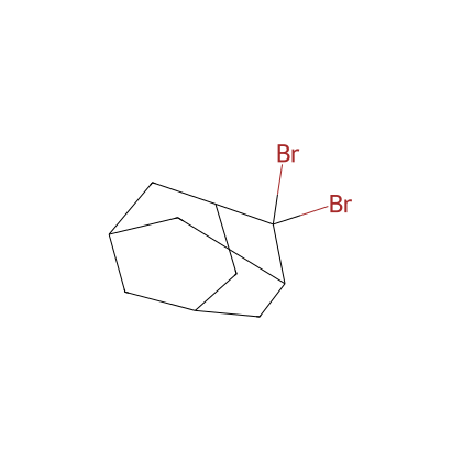 BrC1(Br)C2CC3CC(C2)CC1C3